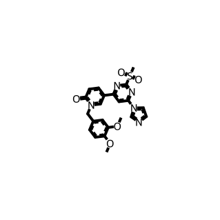 COc1ccc(Cn2cc(-c3cc(-n4ccnc4)nc(S(C)(=O)=O)n3)ccc2=O)cc1OC